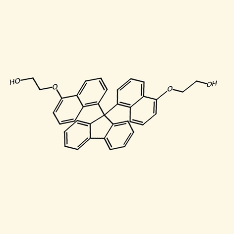 OCCOc1cccc2c(C3(c4cccc5c(OCCO)cccc45)c4ccccc4-c4ccccc43)cccc12